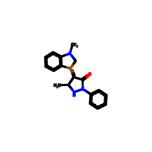 CC1NN(c2ccccc2)C(=O)C1=S1CN(C)c2ccccc21